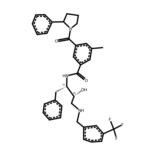 Cc1cc(C(=O)N[C@@H](Cc2ccccc2)[C@H](O)CNCc2cccc(C(F)(F)F)c2)cc(C(=O)N2CCCC2c2ccccc2)c1